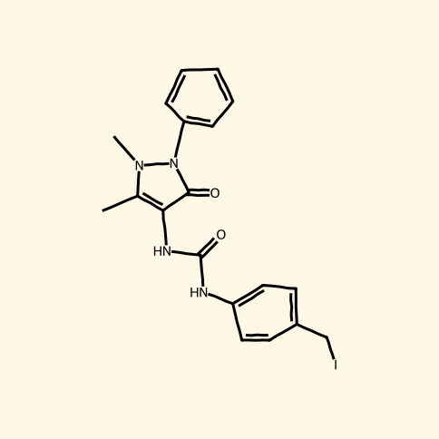 Cc1c(NC(=O)Nc2ccc(CI)cc2)c(=O)n(-c2ccccc2)n1C